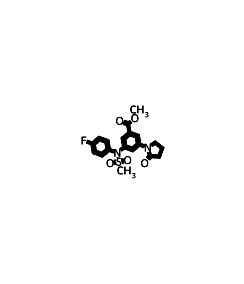 COC(=O)c1cc(N2CCCC2=O)cc(N(c2ccc(F)cc2)S(C)(=O)=O)c1